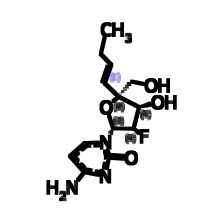 CC/C=C/[C@]1(CO)O[C@@H](n2ccc(N)nc2=O)[C@H](F)[C@@H]1O